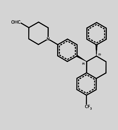 O=CC1CCN(c2ccc([C@@H]3c4ccc(C(F)(F)F)cc4CC[C@@H]3c3ccccc3)cc2)CC1